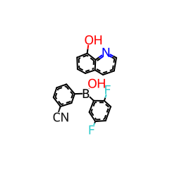 N#Cc1cccc(B(O)c2cc(F)ccc2F)c1.Oc1cccc2cccnc12